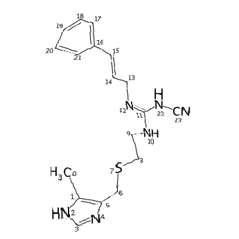 Cc1[nH]cnc1CSCCN/C(=N/C/C=C/c1ccccc1)NC#N